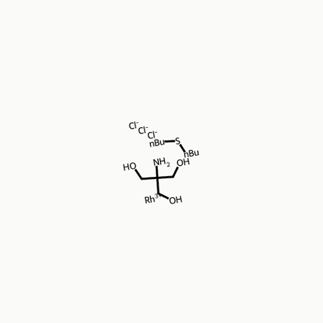 CCCCSCCCC.NC(CO)(CO)CO.[Cl-].[Cl-].[Cl-].[Rh+3]